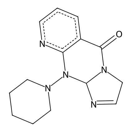 O=C1c2cccnc2N(N2CCCCC2)C2N=CCN12